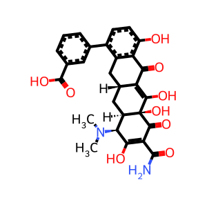 CN(C)[C@@H]1C(O)=C(C(N)=O)C(=O)[C@@]2(O)C(O)=C3C(=O)c4c(O)ccc(-c5cccc(C(=O)O)c5)c4C[C@H]3C[C@H]12